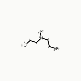 CC(C)CCN(CCO)C(C)C